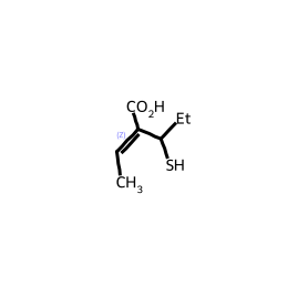 C/C=C(/C(=O)O)C(S)CC